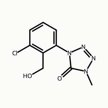 Cn1nnn(-c2cccc(Cl)c2CO)c1=O